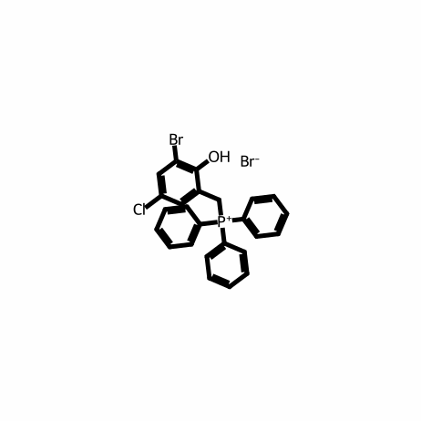 Oc1c(Br)cc(Cl)cc1C[P+](c1ccccc1)(c1ccccc1)c1ccccc1.[Br-]